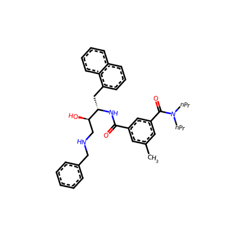 CCCN(CCC)C(=O)c1cc(C)cc(C(=O)N[C@@H](Cc2cccc3ccccc23)[C@H](O)CNCc2ccccc2)c1